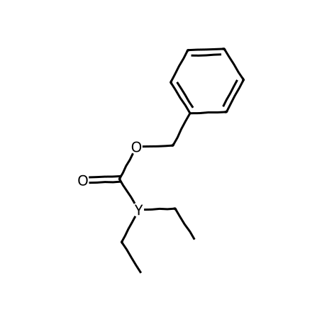 C[CH2][Y]([CH2]C)[C](=O)OCc1ccccc1